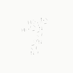 CN(Cc1cccc2ncccc12)C(=O)c1ccc(N(Cc2cccnc2)C(=O)c2ccc(O)cc2O)cc1